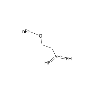 CCCOCC[SH](=P)=P